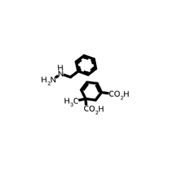 CC1(C(=O)O)C=CC=C(C(=O)O)C1.NNCc1ccccc1